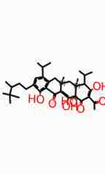 CC(=O)C1=C(O)C(C(C)C)[C@@]2(C)C[C@@]3(C)Cc4c(C(C)C)cc(CCC(C)C(C)(C)C)c(O)c4C(=O)C3=C(O)[C@@]2(O)C1=O